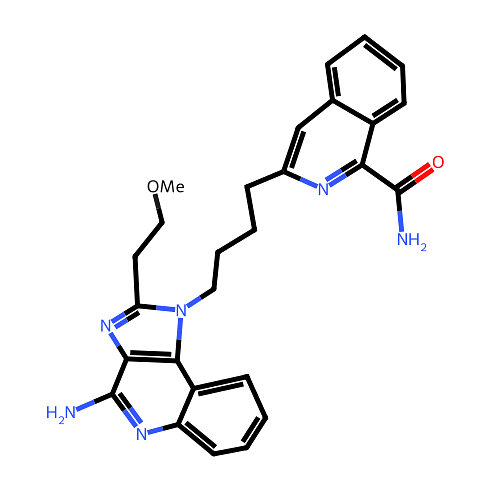 COCCc1nc2c(N)nc3ccccc3c2n1CCCCc1cc2ccccc2c(C(N)=O)n1